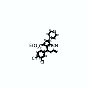 C=CCC(c1ccc(Cl)c(Cl)c1)c1c(C(=O)OCC)sc(N2CCOCC2)c1C#N